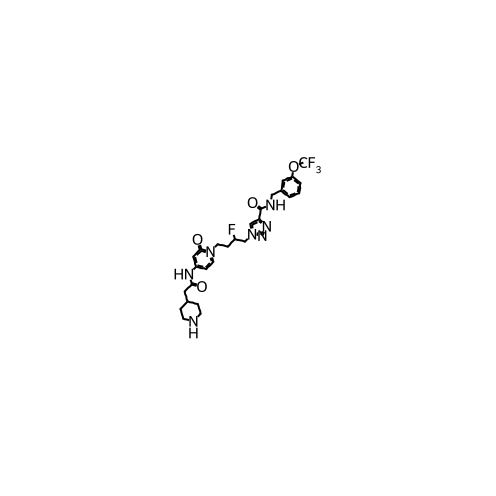 O=C(CC1CCNCC1)Nc1ccn(CCC(F)Cn2cc(C(=O)NCc3cccc(OC(F)(F)F)c3)nn2)c(=O)c1